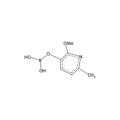 COc1nc(C)ccc1OB(O)O